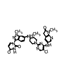 C[C@@H]1CN(c2ncc(Cl)c(Nc3cnc4c(c3)CC(=O)N4C)n2)CC[C@H]1Nc1ccc2c(-n3ccc(=O)[nH]c3=O)nn(C)c2c1